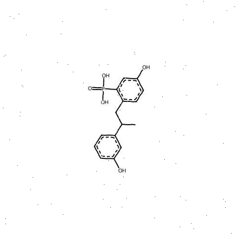 CC(Cc1ccc(O)cc1P(=O)(O)O)c1cccc(O)c1